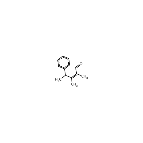 CC(C=O)=C(C)C(C)c1ccccc1